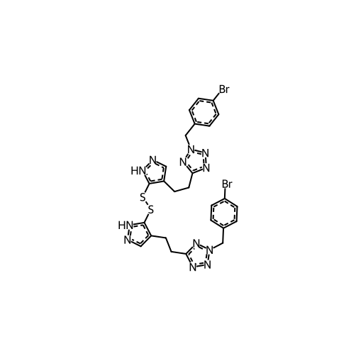 Brc1ccc(Cn2nnc(CCc3cn[nH]c3SSc3[nH]ncc3CCc3nnn(Cc4ccc(Br)cc4)n3)n2)cc1